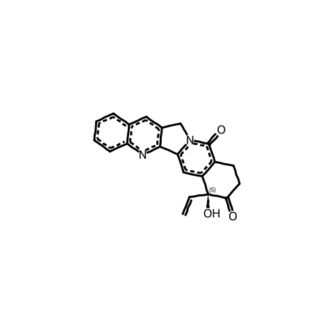 C=C[C@@]1(O)C(=O)CCc2c1cc1n(c2=O)Cc2cc3ccccc3nc2-1